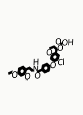 CCOc1ccc(CCNC(=O)c2ccc(Oc3cc4c(cc3Cl)C(OC(=O)O)CCO4)cc2)c(OC)c1